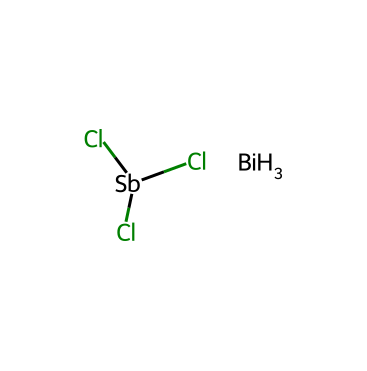 [BiH3].[Cl][Sb]([Cl])[Cl]